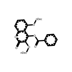 CCCCCCCCCCOc1c(OC(=O)c2ccccc2)c2c(OCCCCCCCCCC)cccc2oc1=O